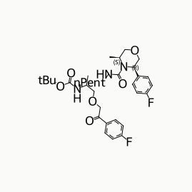 CC(COCC(=O)c1ccc(F)cc1)NC(=O)OC(C)(C)C.CCCCCNC(=O)N1[C@@H](C)COC[C@H]1c1ccc(F)cc1